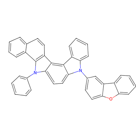 c1ccc(-n2c3ccc4c(c5ccccc5n4-c4ccc5oc6ccccc6c5c4)c3c3ccc4ccccc4c32)cc1